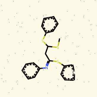 CSC(CC(=Nc1ccccc1)Sc1ccccc1)Sc1ccccc1